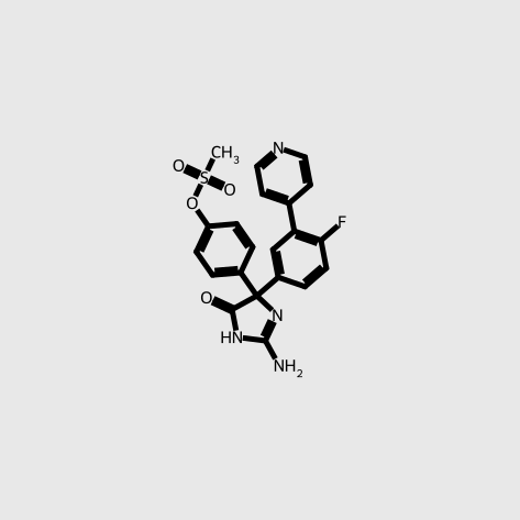 CS(=O)(=O)Oc1ccc(C2(c3ccc(F)c(-c4ccncc4)c3)N=C(N)NC2=O)cc1